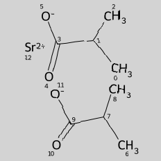 CC(C)C(=O)[O-].CC(C)C(=O)[O-].[Sr+2]